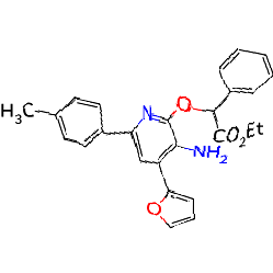 CCOC(=O)C(Oc1nc(-c2ccc(C)cc2)cc(-c2ccco2)c1N)c1ccccc1